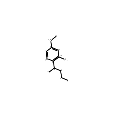 CCCC(C)c1ncc(OC)cc1F